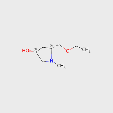 CCOC[C@H]1C[C@@H](O)CN1C